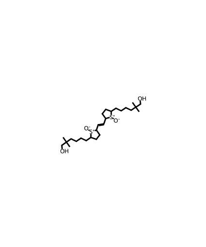 CC(C)(CO)CCCCC1CCC(C=CC2CCC(CCCCC(C)(C)CO)[S+]2[O-])[S+]1[O-]